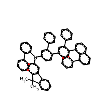 CC1(C)c2ccccc2-c2cc(N(c3ccc(-c4ccc(-c5cccc6cccc(-c7ccccc7)c56)c(-c5ccccc5)c4)c(-c4ccccc4)c3)c3ccccc3-c3ccccc3)ccc21